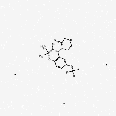 CC1(C)Oc2ccc(OC(F)(F)F)cc2C(N2CCNCC2=O)C1O